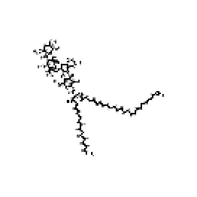 CCCCCCCC/C=C\CCCCCCCCCCCCCC(=O)N[C@@H](CO[C@@H]1OC(CO)[C@@H](O[C@@H]2OC(CO)[C@H](O)[C@H](O[C@H]3OC(CO)[C@H](O)[C@H](O)C3O[C@@H]3OC(C)CC(O)[C@@H]3O)C2O)[C@H](O)C1O)[C@H](O)/C=C/CCCCCCCCCCCCC